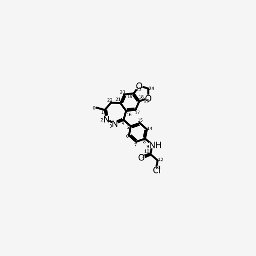 CC1=NN=C(c2ccc(NC(=O)CCl)cc2)c2cc3c(cc2C1)OCO3